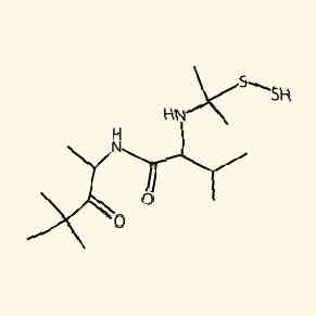 CC(NC(=O)C(NC(C)(C)SS)C(C)C)C(=O)C(C)(C)C